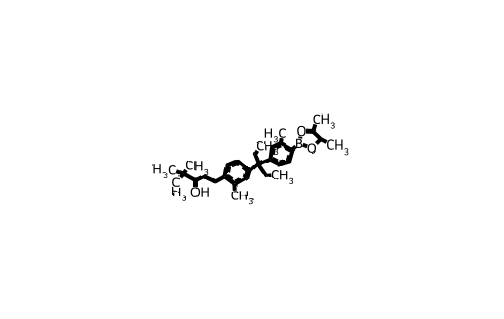 CCC(CC)(c1ccc(CCC(O)C(C)(C)C)c(C)c1)c1ccc(B2OC(C)C(C)O2)c(C)c1